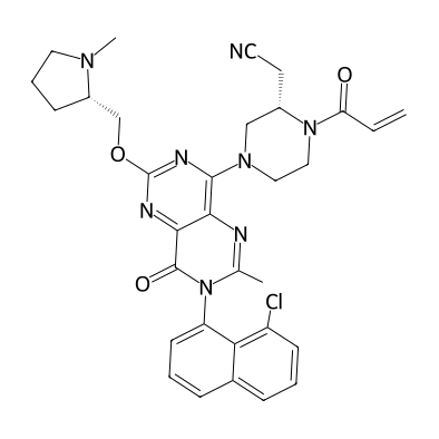 C=CC(=O)N1CCN(c2nc(OC[C@@H]3CCCN3C)nc3c(=O)n(-c4cccc5cccc(Cl)c45)c(C)nc23)C[C@@H]1CC#N